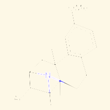 COc1ccc2c(c1)C1(C)CC3C(C(C)=O)CC1(C)C(C2)N3C